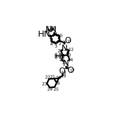 O=C(c1ccc2[nH]nnc2c1)N1C=C2CN(C(=O)OCC3C4CCCCC43)C[C@@H]2C1